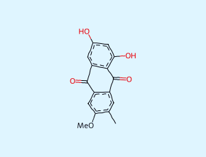 COc1cc2c(cc1C)C(=O)c1c(O)cc(O)cc1C2=O